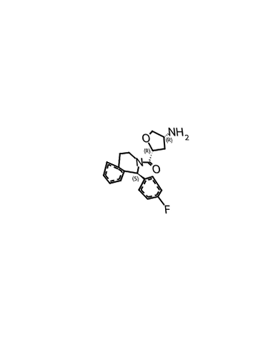 N[C@H]1CO[C@@H](C(=O)N2CCc3ccccc3[C@@H]2c2ccc(F)cc2)C1